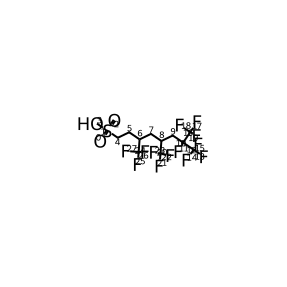 O=S(=O)(O)CCC(CC(CC(F)(C(F)(F)F)C(F)(F)F)C(F)(F)F)C(F)(F)F